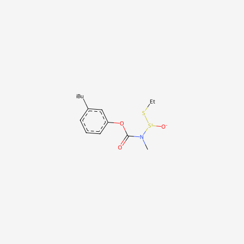 CCS[S+]([O-])N(C)C(=O)Oc1cccc(C(C)CC)c1